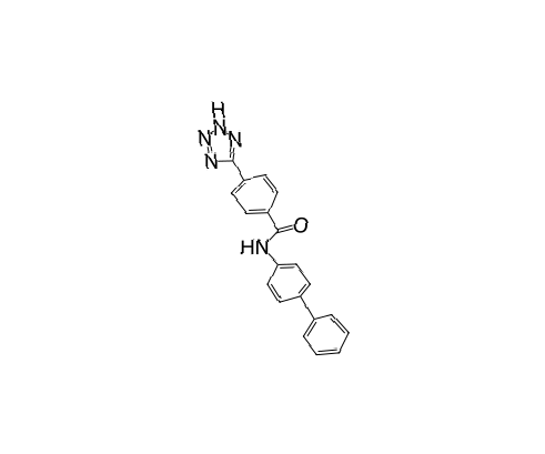 O=C(Nc1ccc(-c2ccccc2)cc1)c1ccc(-c2nn[nH]n2)cc1